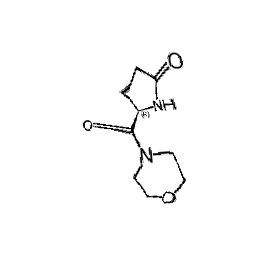 O=C1CC[C@H](C(=O)N2CCOCC2)N1